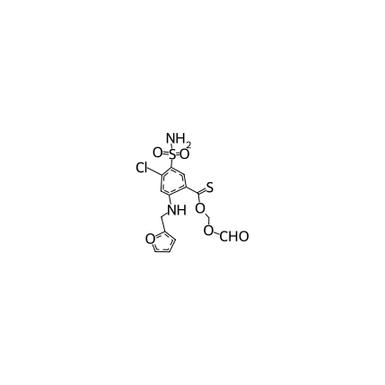 NS(=O)(=O)c1cc(C(=S)OCOC=O)c(NCc2ccco2)cc1Cl